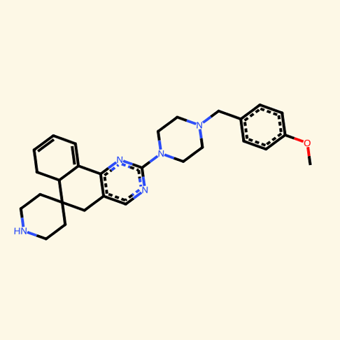 COc1ccc(CN2CCN(c3ncc4c(n3)C3=CC=CCC3C3(CCNCC3)C4)CC2)cc1